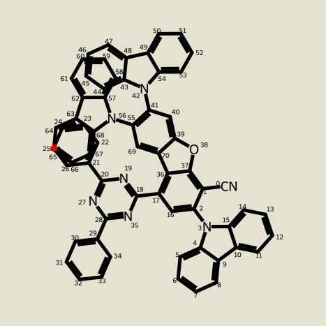 N#Cc1c(-n2c3ccccc3c3ccccc32)cc(-c2nc(-c3ccccc3)nc(-c3ccccc3)n2)c2c1oc1cc(-n3c4ccccc4c4ccccc43)c(-n3c4ccccc4c4ccccc43)cc12